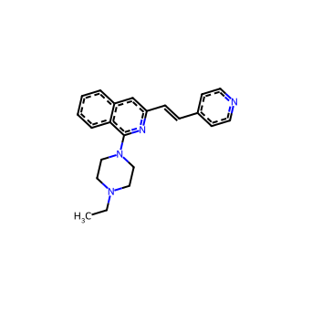 CCN1CCN(c2nc(C=Cc3ccncc3)cc3ccccc23)CC1